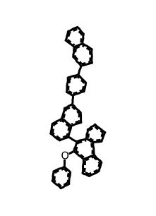 c1ccc(Oc2c(-c3cccc4cc(-c5ccc(-c6ccc7ccccc7c6)cc5)ccc34)c3ccccc3c3ccccc23)cc1